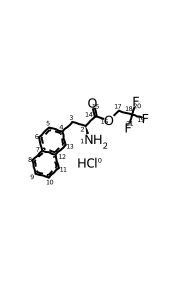 Cl.N[C@@H](Cc1ccc2ccccc2c1)C(=O)OCC(F)(F)F